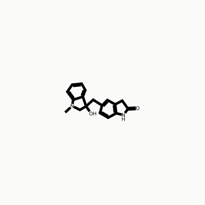 CN1CC(O)(Cc2ccc3c(c2)CC(=O)N3)c2ccccc21